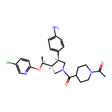 CC(=O)N1CCC(C(=O)N2C[C@H]([C@H](C)Oc3ccc(Cl)cn3)[C@@H](c3ccc(N)cc3)C2)CC1